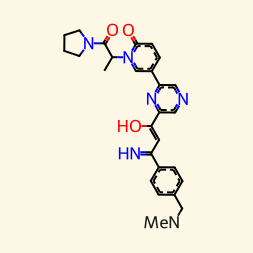 CNCc1ccc(C(=N)/C=C(\O)c2cncc(-c3ccc(=O)n(C(C)C(=O)N4CCCC4)c3)n2)cc1